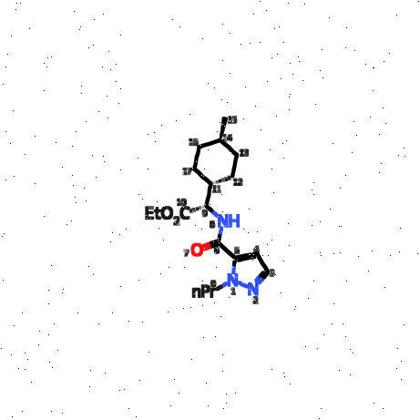 CCCn1nccc1C(=O)N[C@H](C(=O)OCC)[C@H]1CC[C@H](C)CC1